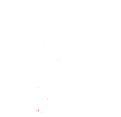 O=C(OC1C2CC3CC1CC(O)(C3)C2)C(F)(F)SOOO